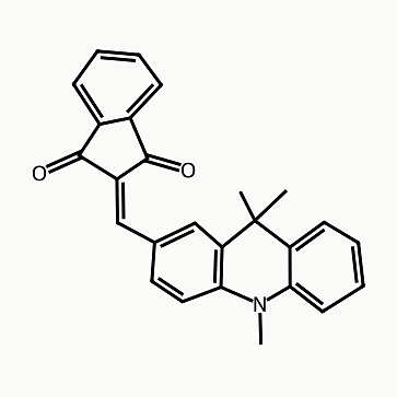 CN1c2ccccc2C(C)(C)c2cc(C=C3C(=O)c4ccccc4C3=O)ccc21